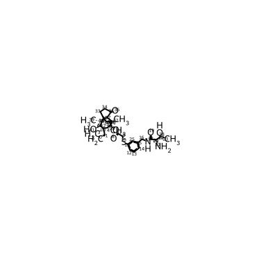 C=C[C@]1(C)C[C@@H](OC(=O)CSc2cccc(CNC(=O)[C@H](N)[C@H](C)O)c2)[C@]2(C)C(C)CCC3(CCC(=O)C32)[C@@H](C)[C@@H]1O